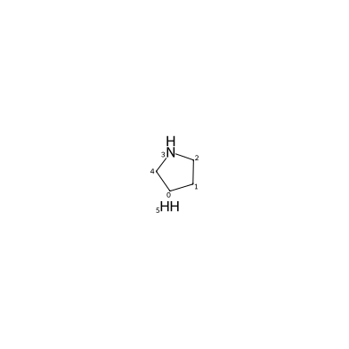 C1CCNC1.[HH]